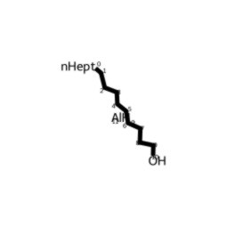 CCCCCCCCCCCCCCCCO.[AlH3]